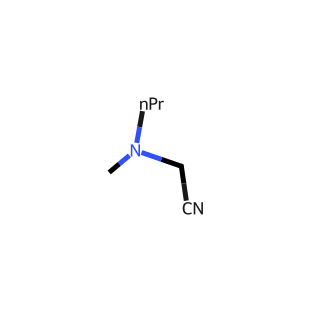 CCCN(C)CC#N